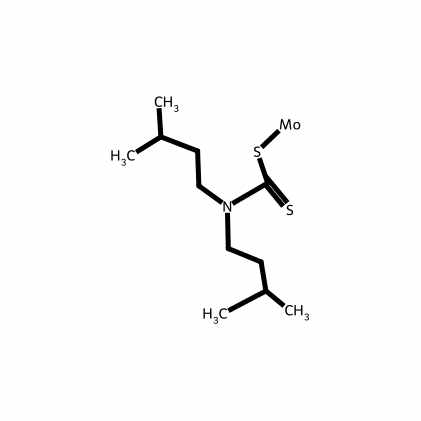 CC(C)CCN(CCC(C)C)C(=S)[S][Mo]